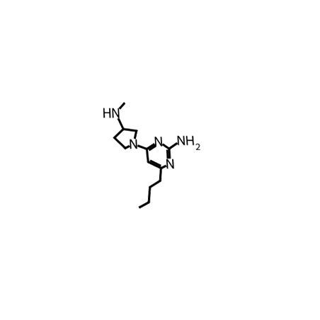 CCCCc1cc(N2CCC(NC)C2)nc(N)n1